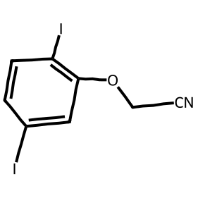 N#CCOc1cc(I)ccc1I